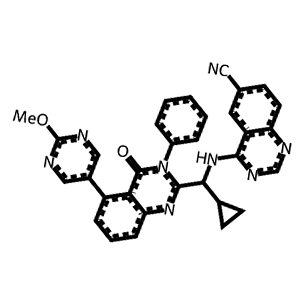 COc1ncc(-c2cccc3nc(C(Nc4ncnc5ccc(C#N)cc45)C4CC4)n(-c4ccccc4)c(=O)c23)cn1